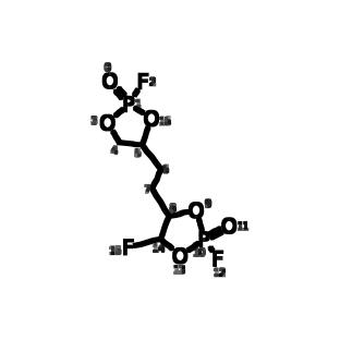 O=P1(F)OCC(CCC2OP(=O)(F)OC2F)O1